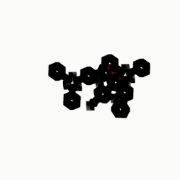 N#Cc1cc(-n2c3ccccc3c3ccc(-c4nc(-c5ccccc5)nc(-c5ccccc5)n4)cc32)c(-c2cc(F)cc(F)c2)c(-n2c3ccccc3c3ccc(-c4nc(-c5ccccc5)nc(-c5ccccc5)n4)cc32)c1